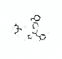 COC1CN(C(=O)C(Cc2cc(O)ccc2Cl)CN2CCC3(CC2)OCc2ccccc23)C1.O=C(O)CC(O)(CC(=O)O)C(=O)O